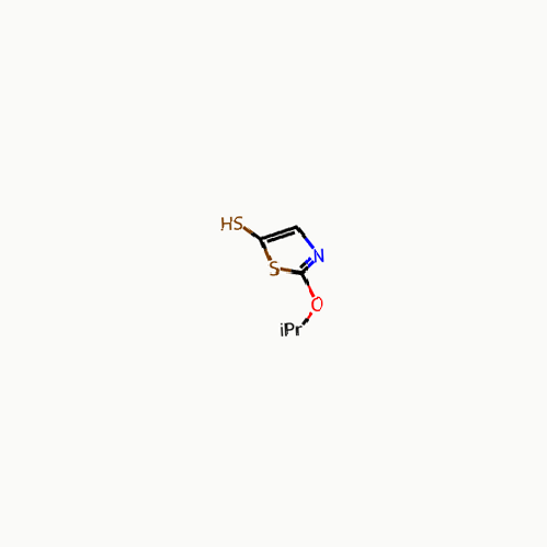 CC(C)Oc1ncc(S)s1